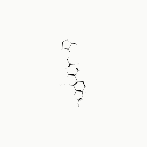 COc1c(-c2cnc(COC3CCCC3OC(C)=O)nc2)ccc2nc(N)sc12